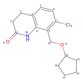 O=C1CCc2ccc(Cl)c(COC3CCCC3)c2N1